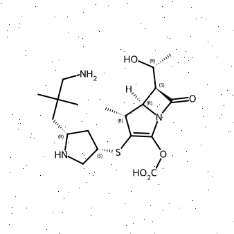 C[C@@H](O)[C@H]1C(=O)N2C(OC(=O)O)=C(S[C@@H]3CN[C@H](CC(C)(C)CN)C3)[C@H](C)[C@@H]12